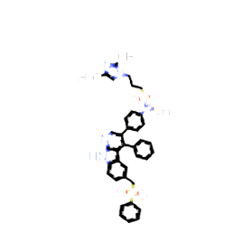 Cc1cn(CCCS(=O)(=O)N(C)c2ccc(-c3cnc4[nH]c5ccc(CS(=O)(=O)c6ccccc6)cc5c4c3-c3ccccc3)cc2)c(C)n1